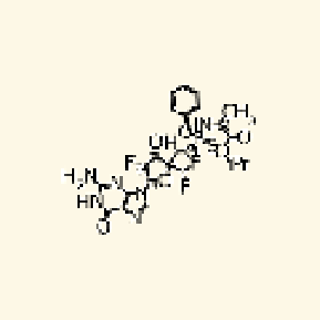 CC(C)OC(=O)[C@H](C)NP(=S)(OC[C@@]1(C(F)F)O[C@@H](n2cnc3c(=O)[nH]c(N)nc32)[C@H](F)[C@@H]1O)Oc1ccccc1